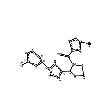 O=C(c1ccc(Br)o1)N1CSCC1c1nnn(-c2cccc(Cl)c2)n1